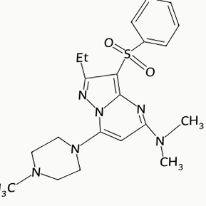 CCc1nn2c(N3CCN(C)CC3)cc(N(C)C)nc2c1S(=O)(=O)c1ccccc1